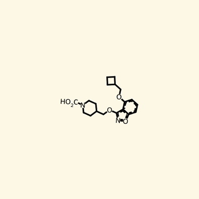 O=C(O)N1CCC(COc2noc3cccc(OCC4CCC4)c23)CC1